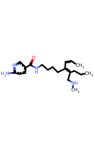 C/C=C\C(CCCCNC(=O)c1ccc(N)nc1)=C(/CCC)CNC